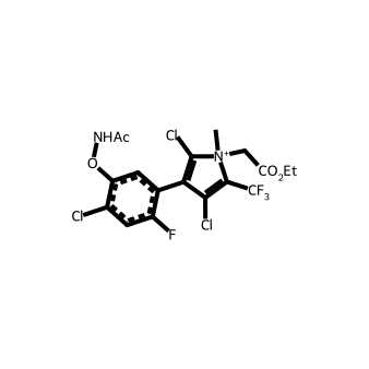 CCOC(=O)C[N+]1(C)C(Cl)=C(c2cc(ONC(C)=O)c(Cl)cc2F)C(Cl)=C1C(F)(F)F